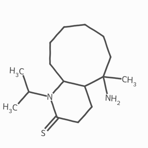 CC(C)N1C(=S)CCC2C1CCCCCCC2(C)N